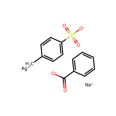 Cc1ccc(S(=O)(=O)[O-])cc1.O=C([O-])c1ccccc1.[Ag+].[Na+]